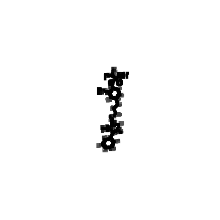 O=P(O)(Oc1ccc(CCCSN2CN=C(c3ccccc3)N2)cc1Br)C(F)F